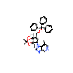 Cc1cncc2ncn([C@@H]3C=C(COC(c4ccccc4)(c4ccccc4)c4ccccc4)[C@H]4OC(C)(C)O[C@H]43)c12